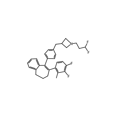 Cc1c(C2=C(c3ccc(CC4CN(CCC(F)F)C4)cc3)c3ccccc3CCC2)ccc(F)c1F